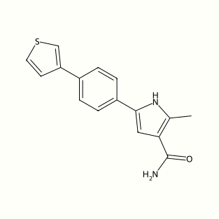 Cc1[nH]c(-c2ccc(-c3ccsc3)cc2)cc1C(N)=O